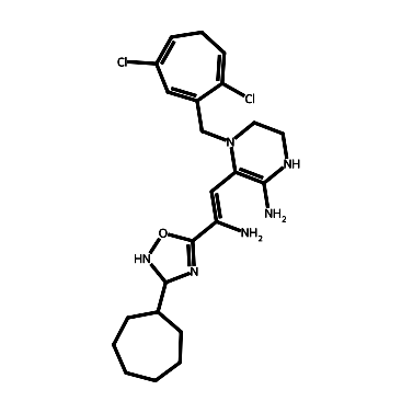 NC1=C(/C=C(\N)C2=NC(C3CCCCCC3)NO2)N(CC2=CC(Cl)=CCC=C2Cl)CCN1